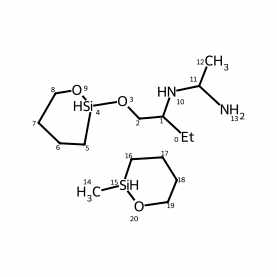 CCC(CO[SiH]1CCCCO1)NC(C)N.C[SiH]1CCCCO1